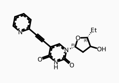 CC[C@H]1O[C@@H](n2cc(C#Cc3ccccn3)c(=O)[nH]c2=O)CC1O